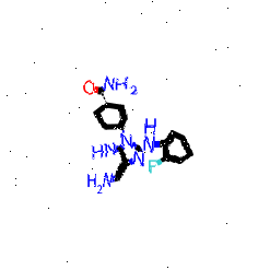 N=C1/C(=C\N)N=C(Nc2ccccc2F)N1[C@H]1CC[C@@H](C(N)=O)CC1